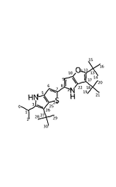 CC(C)c1[nH]c2cc(-c3cc4oc(C(C)(C)C)c(C(C)(C)C)c4[nH]3)sc2c1C(C)(C)C